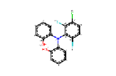 Oc1ccccc1N(c1ccccc1O)c1c(F)ccc(Cl)c1F